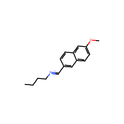 CCCC/N=C/c1ccc2cc(OC)ccc2c1